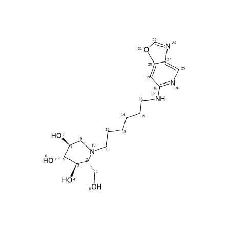 OC[C@@H]1[C@@H](O)[C@H](O)[C@@H](O)CN1CCCCCCNc1cc2ocnc2cn1